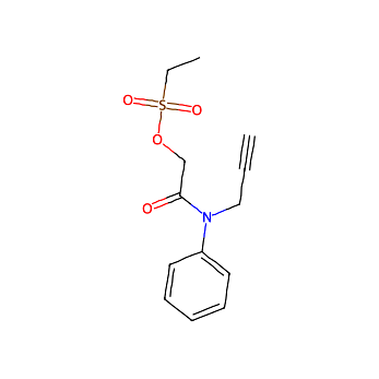 C#CCN(C(=O)COS(=O)(=O)CC)c1ccccc1